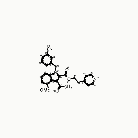 COc1cccc2c1c(C(N)=O)c(C(=O)OCCc1ccncc1)n2Cc1cccc(C#N)c1